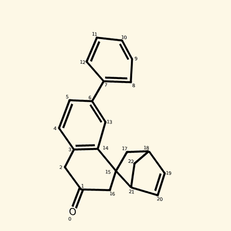 O=C1Cc2ccc(-c3ccccc3)cc2C2(C1)CC1C=CC2C1